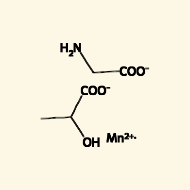 CC(O)C(=O)[O-].NCC(=O)[O-].[Mn+2]